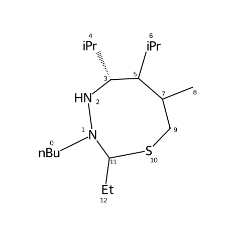 CCCCN1N[C@H](C(C)C)C(C(C)C)C(C)CSC1CC